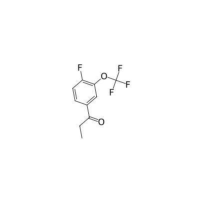 CCC(=O)c1ccc(F)c(OC(F)(F)F)c1